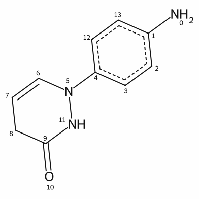 Nc1ccc(N2C=CCC(=O)N2)cc1